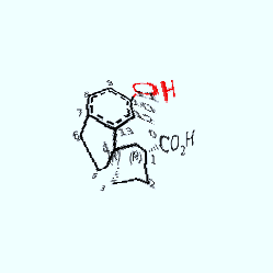 O=C(O)[C@@H]1CC[C@@]12CCc1ccc(O)cc12